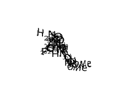 COc1nc2ccc(Nc3nccc(N(C(=O)C4(C(N)=O)CC4)c4ccc(F)cc4)n3)cc2nc1OC